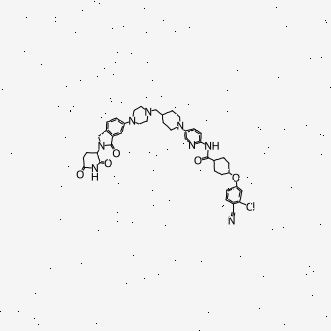 N#Cc1ccc(OC2CCC(C(=O)Nc3ccc(N4CCC(CN5CCN(c6ccc7c(c6)C(=O)N(C6CCC(=O)NC6=O)C7)CC5)CC4)cn3)CC2)cc1Cl